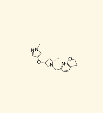 C[C@H]1C[C@@H](Oc2cnn(C)c2)CN1Cc1ccc2c(n1)OCC2